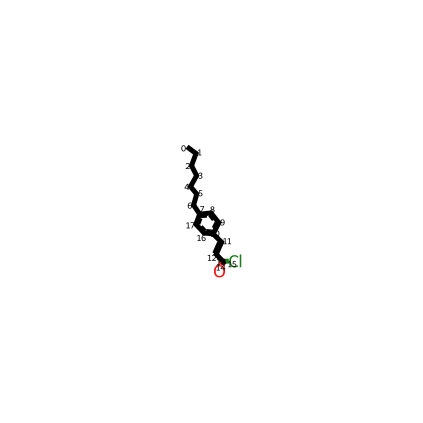 CCCCCCCc1ccc(C=CC(=O)Cl)cc1